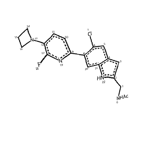 CC(=O)NCc1cc2cc(Cl)c(-c3ccc(N4CCC4)c(F)n3)cc2[nH]1